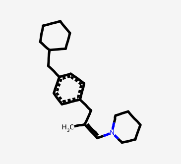 CC(=CN1CCCCC1)Cc1ccc(CC2CCCCC2)cc1